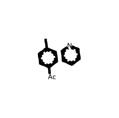 CC(=O)c1ccc(C)cc1.c1ccncc1